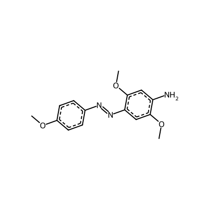 COc1ccc(/N=N/c2cc(OC)c(N)cc2OC)cc1